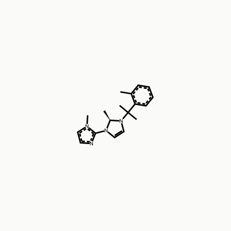 Cc1ccccc1C(C)(C)N1C=CN(c2nccn2C)[C@H]1C